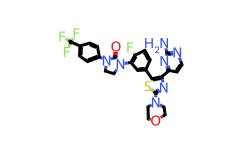 Nc1nccc(-c2nc(N3CCOCC3)sc2-c2ccc(F)c(N3CCN(c4ccc(C(F)(F)F)cc4)C3=O)c2)n1